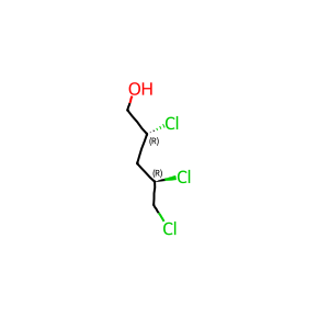 OC[C@H](Cl)C[C@@H](Cl)CCl